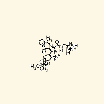 C[C@H]1CCCN1C(=O)c1nc(C(=O)NCC2=NNNN2)sc1-c1cnc(NC(C)(C)C)cc1C(F)(F)F